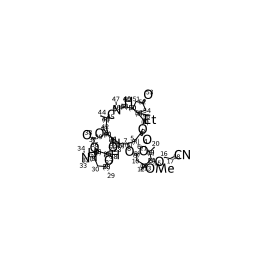 CC[C@H]1OC(=O)[C@H](C)[C@@H](O[C@H]2C[C@@](C)(OC)[C@@H](OCCC#N)[C@H](C)O2)[C@H](C)[C@H]2O[C@@H]3O[C@H](C)C[C@H](N(C)C)[C@H]3OC(=O)O[C@]2(C)C[C@@H](C)CN(C)[C@H](C)[C@H]2CC(=O)C[C@@]21C